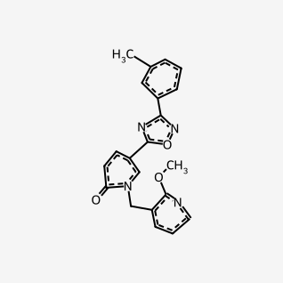 COc1ncccc1Cn1cc(-c2nc(-c3cccc(C)c3)no2)ccc1=O